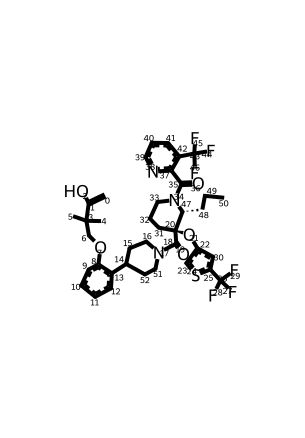 C=C(O)C(C)(C)COc1ccccc1C1CCN(C(=O)[C@]2(Oc3csc(C(F)(F)F)c3)CCCN(C(=O)c3ncccc3C(F)(F)F)[C@@H]2CCC)CC1